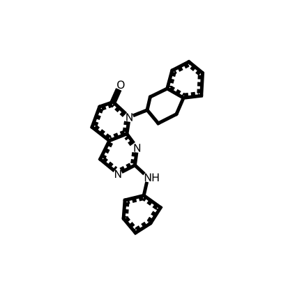 O=c1ccc2cnc(Nc3ccccc3)nc2n1C1CCc2ccccc2C1